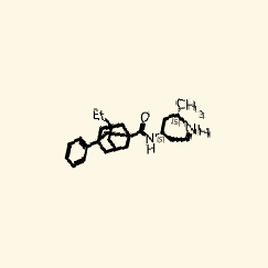 CCC12CC3CC(C(=O)N[C@H]4CCN[C@@H](C)C4)(C1)CC(c1ccccc1)(C3)C2